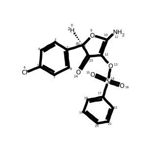 [2H][C@]1(c2ccc(Cl)cc2)OC(N)=C(OS(=O)(=O)c2ccccc2)C1=O